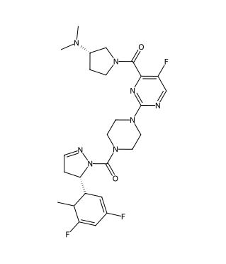 CC1C(F)=CC(F)=CC1[C@@H]1CC=NN1C(=O)N1CCN(c2ncc(F)c(C(=O)N3CC[C@H](N(C)C)C3)n2)CC1